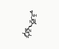 Cc1ncc(C)n2nc(C=Cc3nc(CNC4CC4)nn3C)nc12